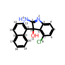 NC1=Nc2cccc(Cl)c2C1(O)c1cccc2ccccc12